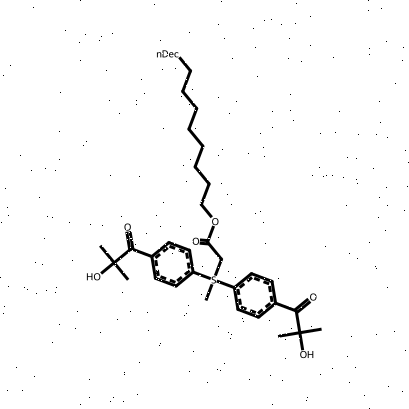 CCCCCCCCCCCCCCCCCCOC(=O)CS(C)(c1ccc(C(=O)C(C)(C)O)cc1)c1ccc(C(=O)C(C)(C)O)cc1